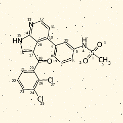 CS(=O)(=O)Nc1cccc(-c2ccnc3[nH]cc(C(=O)c4cccc(Cl)c4Cl)c23)c1